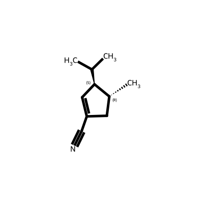 CC(C)[C@@H]1C=C(C#N)C[C@H]1C